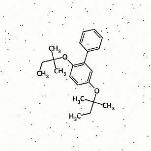 CCC(C)(C)Oc1ccc(OC(C)(C)CC)c(-c2ccccc2)c1